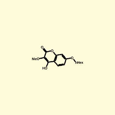 CCCCCCOc1ccc2c(O)c(OC)c(=O)oc2c1